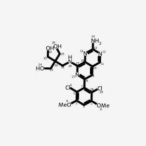 COc1cc(OC)c(Cl)c(-c2cc3cnc(N)nc3c(NCC(CO)(CO)CO)n2)c1Cl